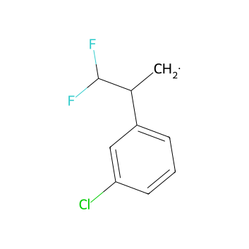 [CH2]C(c1cccc(Cl)c1)C(F)F